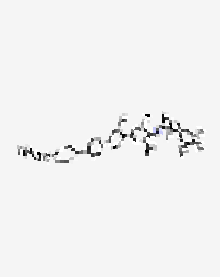 CCCCCC1CCC(c2ccc(-c3ccc(-c4cc(F)c(/C=C/C(F)(F)Oc5cc(F)c(F)c(F)c5)c(F)c4)c(F)c3)cc2)CC1